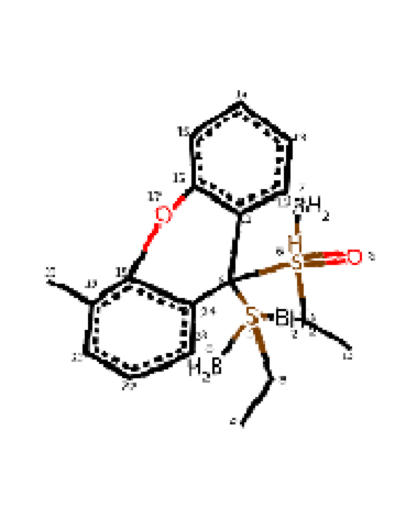 BS(B)(CC)C1([SH](B)(=O)CC)c2ccccc2Oc2c(C)cccc21